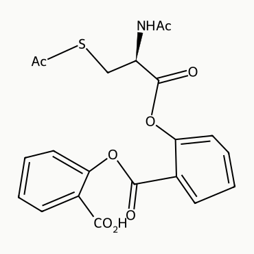 CC(=O)N[C@H](CSC(C)=O)C(=O)Oc1ccccc1C(=O)Oc1ccccc1C(=O)O